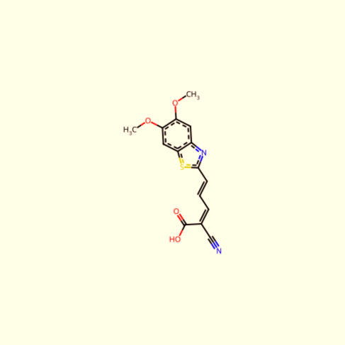 COc1cc2nc(C=CC=C(C#N)C(=O)O)sc2cc1OC